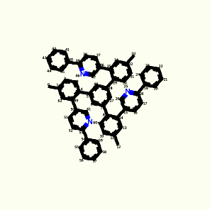 Cc1ccc(-c2cc(-c3ccc(C)cc3-c3ccc(-c4ccccc4)nc3)cc(-c3ccc(C)cc3-c3ccc(-c4ccccc4)nc3)c2)c(-c2ccc(-c3ccccc3)nc2)c1